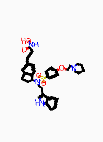 O=C(/C=C/c1ccc2c(c1)CCC2N(CCc1c[nH]c2ccccc12)S(=O)(=O)c1ccc(OCCN2CCCCC2)cc1)NO